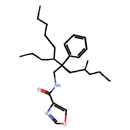 CCCCCC(CCC)C(CNC(=O)c1cocn1)(CC(C)CCC)c1ccccc1